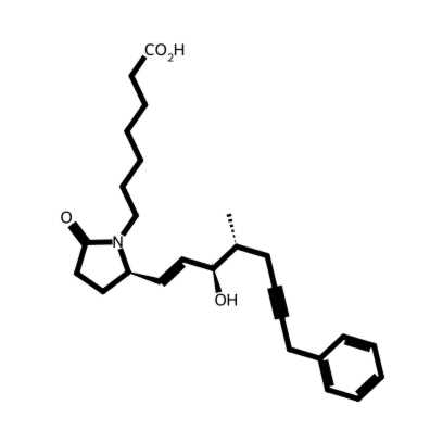 C[C@H](CC#CCc1ccccc1)[C@@H](O)C=C[C@H]1CCC(=O)N1CCCCCCC(=O)O